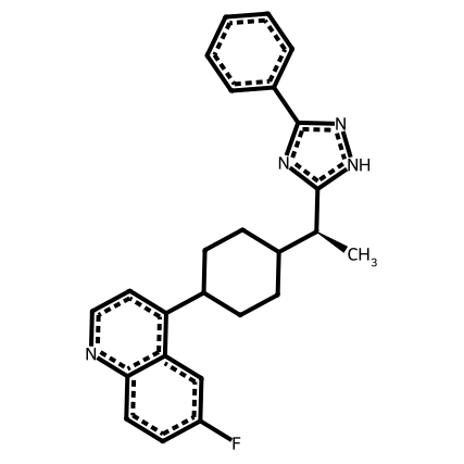 C[C@H](c1nc(-c2ccccc2)n[nH]1)C1CCC(c2ccnc3ccc(F)cc23)CC1